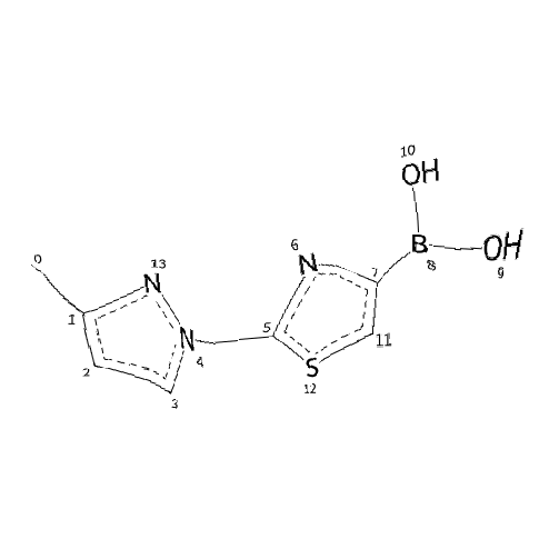 Cc1ccn(-c2nc(B(O)O)cs2)n1